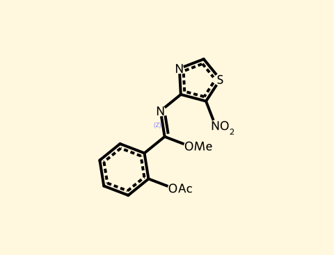 CO/C(=N\c1ncsc1[N+](=O)[O-])c1ccccc1OC(C)=O